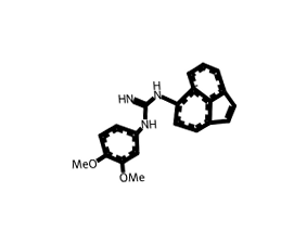 COc1ccc(NC(=N)Nc2ccc3c4c(cccc24)C=C3)cc1OC